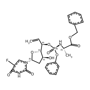 C=C[C@@H](O[P@](=O)(N[C@@H](C)C(=O)OCc1ccccc1)Oc1ccccc1)[C@H]1O[C@@H](n2cc(F)c(=O)[nH]c2=O)C[C@@H]1O